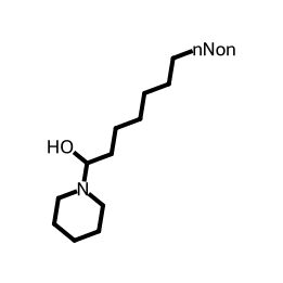 CCCCCCCCCCCCCCCC(O)N1CCCCC1